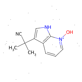 CC(C)(C#N)c1c[nH]c2c1ccc[n+]2O